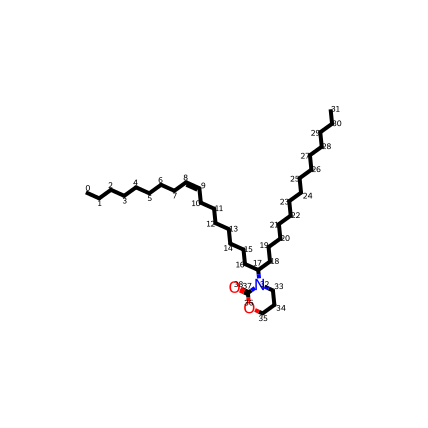 CCCCCCCC/C=C\CCCCCCCC(CCCCCCCCCCCCCC)N1CCCOC1=O